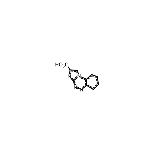 O=C(O)c1cn2c(nnc3ccccc32)n1